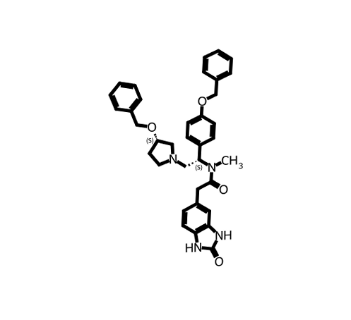 CN(C(=O)Cc1ccc2[nH]c(=O)[nH]c2c1)[C@H](CN1CC[C@H](OCc2ccccc2)C1)c1ccc(OCc2ccccc2)cc1